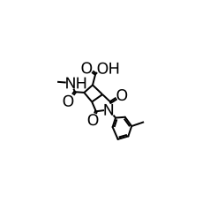 CNC(=O)C1C(C(=O)O)C2C(=O)N(c3cccc(C)c3)C(=O)C12